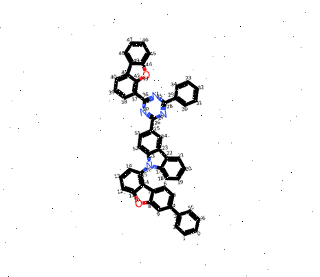 c1ccc(-c2ccc3c(c2)oc2cccc(-n4c5ccccc5c5cc(-c6nc(-c7ccccc7)nc(-c7cccc8c7oc7ccccc78)n6)ccc54)c23)cc1